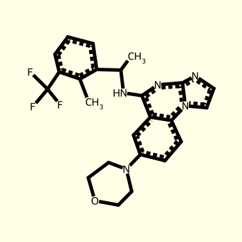 Cc1c(C(C)Nc2nc3nccn3c3ccc(N4CCOCC4)cc23)cccc1C(F)(F)F